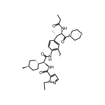 CCC(=O)N[C@@H](C(=O)N1CCSCC1)[C@@H](C)c1ccc(NC(=O)[C@@H](NC(=O)c2ccnn2CC)[C@H]2CC[C@H](C)CC2)c(F)c1